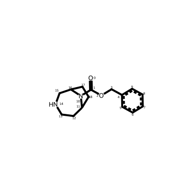 O=C(OCc1ccccc1)N1C2CCNCC1CC2